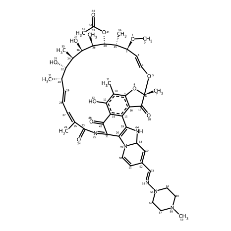 CO[C@H]1/C=C/O[C@@]2(C)Oc3c(C)c(O)c4c(c3C2=O)C2=C(/C(=N/C(=O)/C(C)=C\C=C\[C@H](C)[C@H](O)[C@@H](C)[C@@H](O)[C@@H](C)[C@H](OC(C)=O)[C@@H]1C)C4=O)N1C=CC(/C=N/N3CCN(C)CC3)=CC1N2